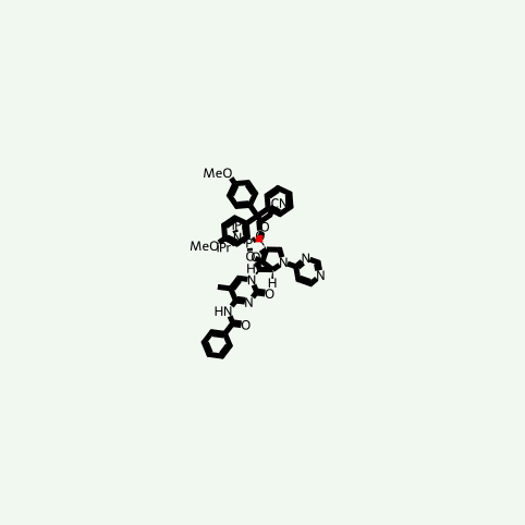 COc1ccc(C(OC[C@@]23CN(c4ccncn4)[C@@H]([C@H](n4cc(C)c(NC(=O)c5ccccc5)nc4=O)O2)[C@@H]3OP(OCCC#N)N(C(C)C)C(C)C)(c2ccccc2)c2ccc(OC)cc2)cc1